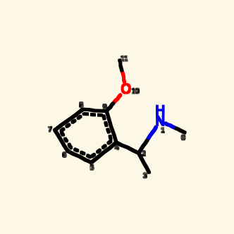 CNC(C)c1ccccc1OC